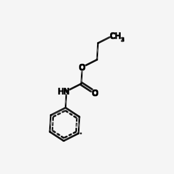 CCCOC(=O)Nc1c[c]ccc1